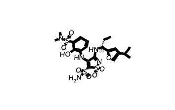 CC[C@@H](NC1=NS(=O)(=O)C(S(N)(=O)=O)=C1Nc1cccc(S(=O)(=O)N(C)C)c1O)c1cc(C(C)C)co1